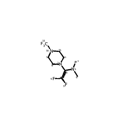 CN(F)C(=C(F)F)N1CCN(C(F)(F)F)CC1